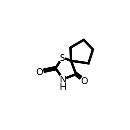 O=C1NC(=O)C2(CCCC2)S1